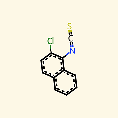 S=C=Nc1c(Cl)ccc2ccccc12